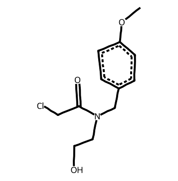 COc1ccc(CN(CCO)C(=O)CCl)cc1